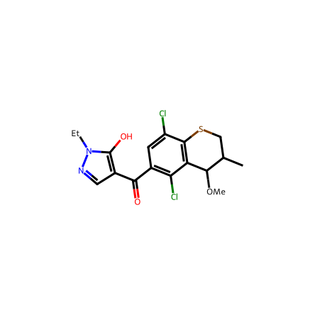 CCn1ncc(C(=O)c2cc(Cl)c3c(c2Cl)C(OC)C(C)CS3)c1O